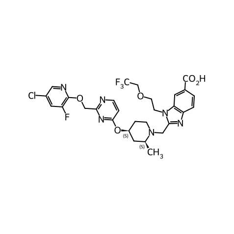 C[C@H]1C[C@@H](Oc2ccnc(COc3ncc(Cl)cc3F)n2)CCN1Cc1nc2ccc(C(=O)O)cc2n1CCOCC(F)(F)F